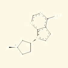 C[C@@H]1CC[C@H](n2ccc3c(Cl)ncnc32)C1